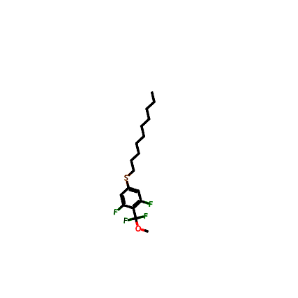 CCCCCCCCCCSc1cc(F)c(C(F)(F)OC)c(F)c1